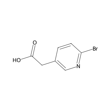 O=C(O)Cc1ccc(Br)nc1